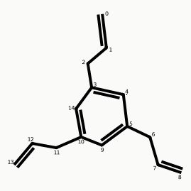 C=CCc1[c]c(CC=C)cc(CC=C)c1